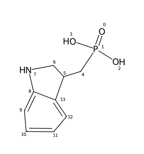 O=P(O)(O)CC1CNc2ccccc21